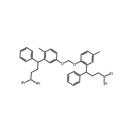 CCN(CCC(c1ccccc1)c1cc(C)ccc1OCOc1ccc(C)c(C(CCN(C(C)C)C(C)C)c2ccccc2)c1)C(C)C